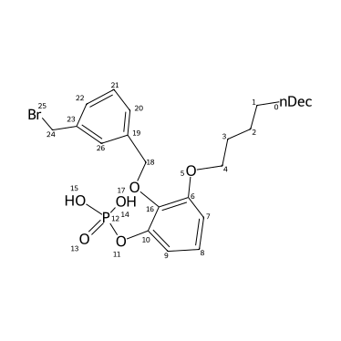 CCCCCCCCCCCCCCOc1cccc(OP(=O)(O)O)c1OCc1cccc(CBr)c1